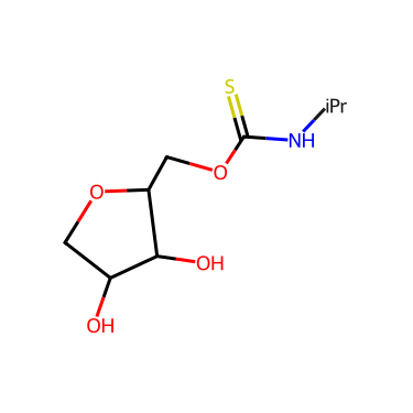 CC(C)NC(=S)OCC1OCC(O)C1O